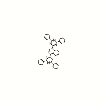 C1=CC2=C(c3nc(-c4ccccc4)nc(-c4ccccc4)n3)C=CC(c3nc(-c4ccccc4)nc(-c4ccccc4)n3)C2C=C1